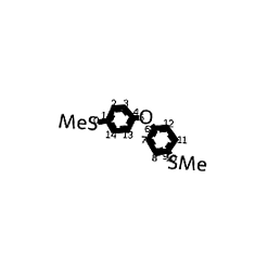 CSc1ccc(Oc2ccc(SC)cc2)cc1